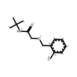 CC(C)(C)NC(=O)COCc1ccccc1Cl